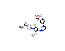 COc1cc(N2CCN(C(C)C)CC2)c(Cl)cc1Nc1nccc(-c2cnc3c(c2)C(C)(CO)CN3)n1